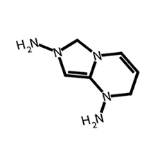 NN1C=C2N(N)CC=CN2C1